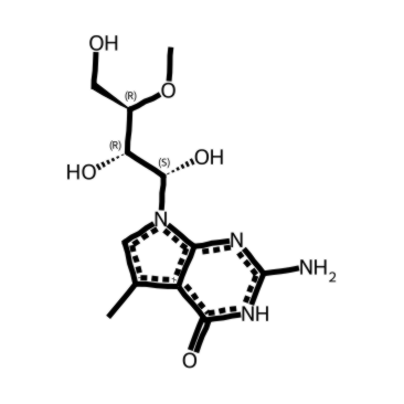 CO[C@H](CO)[C@@H](O)[C@H](O)n1cc(C)c2c(=O)[nH]c(N)nc21